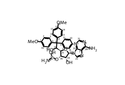 COc1ccc(C(c2ccccc2)(c2ccc(OC)cc2)C(O)[C@H]2O[C@@H](n3cnc4c(N)ncnc43)[C@H](O)[C@@H]2OP(N)O)cc1